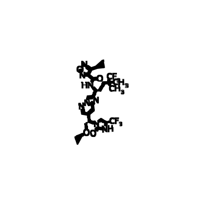 CC(C)(CC[C@H](NC(=O)c1nonc1C1CC1)c1cn2ncc([C@@H](COC3CC3)N3C[C@@H](C(F)(F)F)NC3=O)cc2n1)C(F)(F)F